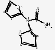 NC(=O)N(c1ccco1)c1ccco1